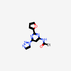 CCC(=O)Nc1cc(-n2ccnn2)nc(-c2ccco2)n1